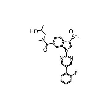 CC(O)CN(C)C(=O)c1ccc2c([S+](C)[O-])cn(-c3ncc(-c4ccccc4F)cn3)c2c1